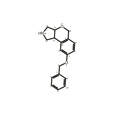 c1ccc(COc2ccc3c(c2)C2CNCC2OC3)cc1